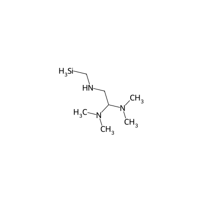 CN(C)C(CNC[SiH3])N(C)C